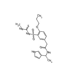 CCCOc1ccc(CC(=O)NC(C)c2cc[nH]c2)cc1S(=O)(=O)NC(=S)NC